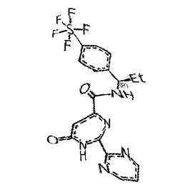 CC[C@@H](NC(=O)c1cc(=O)[nH]c(-c2ncccn2)n1)c1ccc(S(F)(F)(F)(F)F)cc1